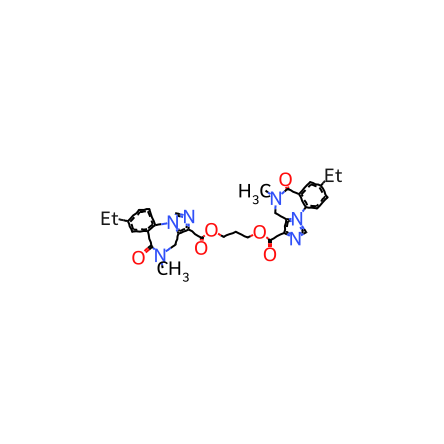 CCc1ccc2c(c1)C(=O)N(C)Cc1c(C(=O)OCCCOC(=O)c3ncn4c3CN(C)C(=O)c3cc(CC)ccc3-4)ncn1-2